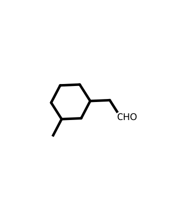 CC1CCCC(CC=O)C1